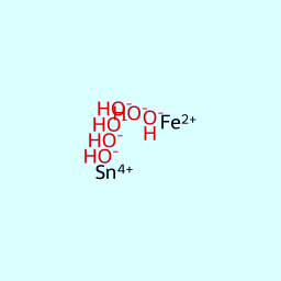 [Fe+2].[OH-].[OH-].[OH-].[OH-].[OH-].[OH-].[Sn+4]